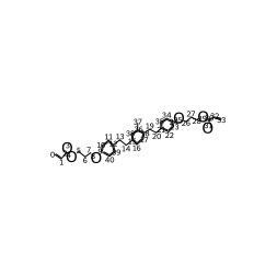 C=CC(=O)OCCCOc1ccc(CCc2ccc(CCc3ccc(OCCCOC(=O)C=C)cc3)c(C)c2)cc1